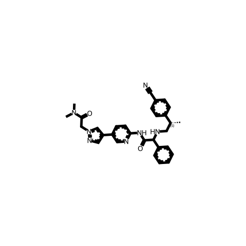 C[C@H](CNC(C(=O)Nc1ccc(-c2cnn(CC(=O)N(C)C)c2)cn1)c1ccccc1)c1ccc(C#N)cc1